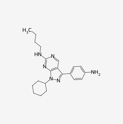 CCCCNc1ncc2c(-c3ccc(N)cc3)nn(C3CCCCC3)c2n1